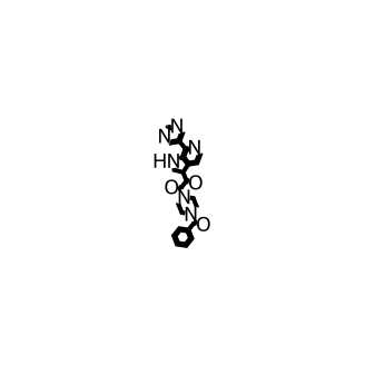 O=C(C(=O)N1CCN(C(=O)c2ccccc2)CC1)C1CNc2c1ccnc2-c1cncnc1